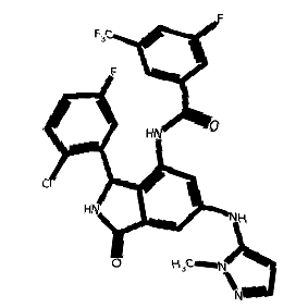 Cn1nccc1Nc1cc(NC(=O)c2cc(F)cc(C(F)(F)F)c2)c2c(c1)C(=O)NC2c1cc(F)ccc1Cl